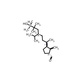 C=C1/C(=C(\C)CC[C@H](CC(C)(C)[Si](C)(C)O)C(C)C)CC[C@H]1C=O